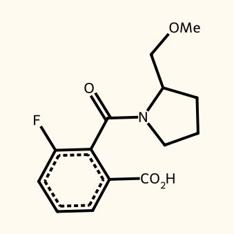 COCC1CCCN1C(=O)c1c(F)cccc1C(=O)O